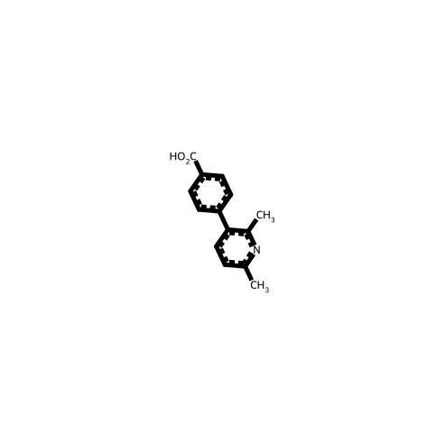 Cc1ccc(-c2ccc(C(=O)O)cc2)c(C)n1